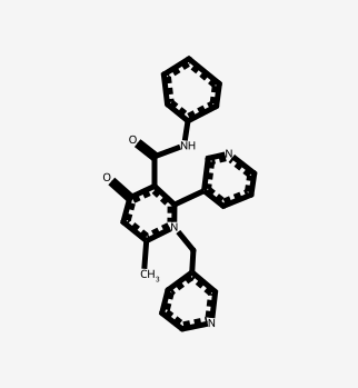 Cc1cc(=O)c(C(=O)Nc2ccccc2)c(-c2cccnc2)n1Cc1cccnc1